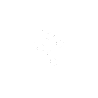 COc1nc(-c2cc(F)ccc2C2Cc3nc(N)nc(C)c3C(=O)N2Cc2ccc(F)cc2)cnc1N